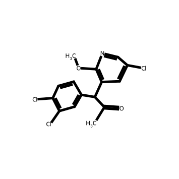 COc1ncc(Cl)cc1C(C(C)=O)c1ccc(Cl)c(Cl)c1